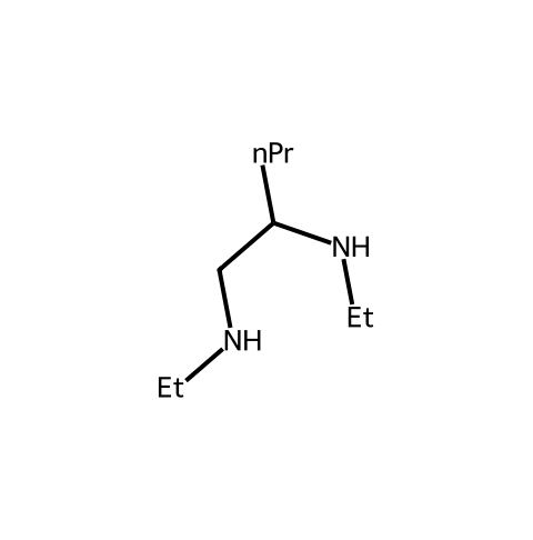 CCCC(CNCC)NCC